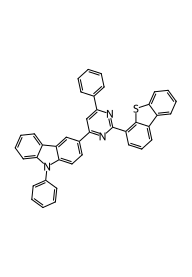 c1ccc(-c2cc(-c3ccc4c(c3)c3ccccc3n4-c3ccccc3)nc(-c3cccc4c3sc3ccccc34)n2)cc1